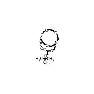 CC(C)(C)OCC1COCCN2CCOCCOCCN(CCOCC2)CCO1